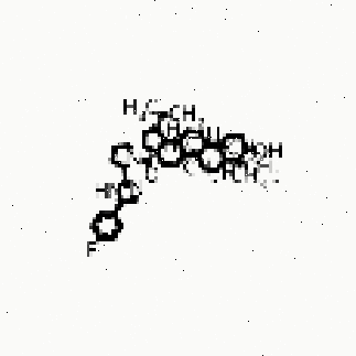 C=C(C)[C@@H]1CC[C@]2(C(=O)N3CCCC3c3ncc(-c4ccc(F)cc4)[nH]3)CC[C@]3(C)[C@H](CC[C@@H]4[C@@]5(C)CC[C@H](O)C(C)(C)[C@@H]5CC[C@]43C)C12